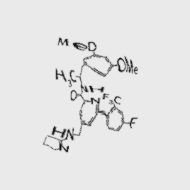 COc1cc(OC)cc(C(C)NC(=O)c2cc(CNC3=NCCC3)cc(-c3ccc(F)cc3C(F)(F)F)n2)c1